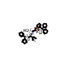 O=C(O)/C(=N\OC(C(=O)OC(c1ccccc1)c1ccccc1)c1ccsc1)c1csc(NC(c2ccccc2)(c2ccccc2)c2ccccc2)n1